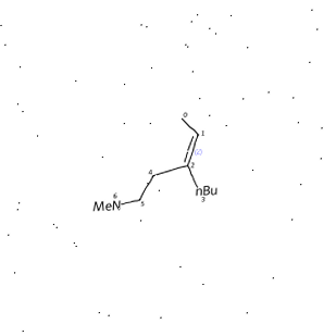 C/C=C(/CCCC)CCNC